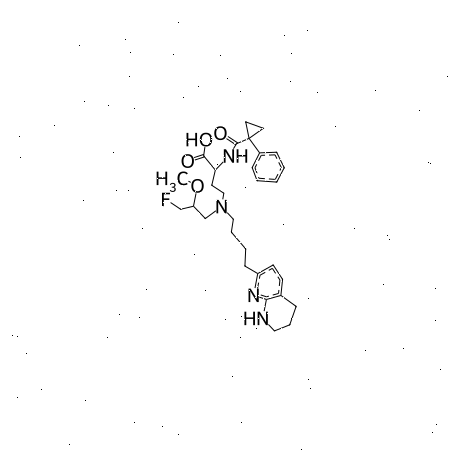 COC(CF)CN(CCCCc1ccc2c(n1)NCCC2)CCC(NC(=O)C1(c2ccccc2)CC1)C(=O)O